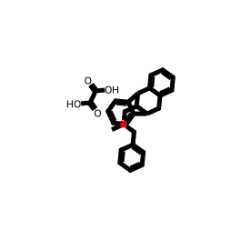 CN(Cc1ccccc1)CC1C2Cc3ccccc3C1c1ccccc12.O=C(O)C(=O)O